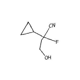 N#CC(F)(CO)C1CC1